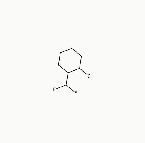 FC(F)[C]1CCCCC1Cl